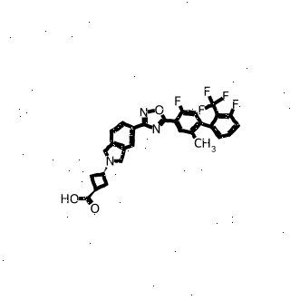 Cc1cc(-c2nc(-c3ccc4c(c3)CN([C@H]3C[C@H](C(=O)O)C3)C4)no2)c(F)cc1-c1cccc(F)c1C(F)(F)F